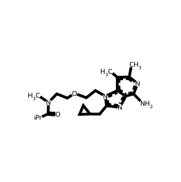 Cc1nc(N)c2nc(CC3CC3)n(CCOCCN(C)C(=O)C(C)C)c2c1C